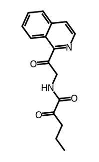 CCCC(=O)C(=O)NCC(=O)c1nccc2ccccc12